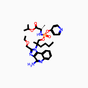 CCCCC(C)(COP(=O)(N[C@@H](C)C(=O)OC(C)C)Oc1ccncc1)n1c(COCC)nc2c(N)nc3ccccc3c21